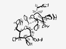 OCC1O[C@H](O[C@@]2(CCl)O[C@H](CCl)[C@@H](O)[C@H]2O)C(O)[C@@H](O)[C@H]1Cl